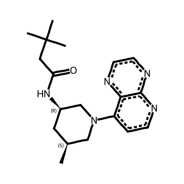 C[C@H]1C[C@@H](NC(=O)CC(C)(C)C)CN(c2ccnc3nccnc23)C1